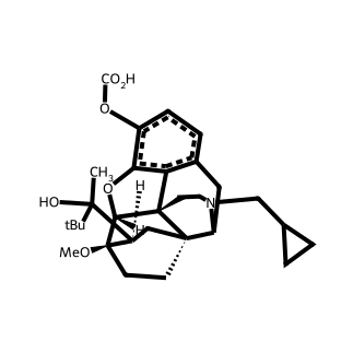 CO[C@]12CC[C@@]3(C[C@@H]1C(C)(O)C(C)(C)C)C1Cc4ccc(OC(=O)O)c5c4[C@@]3(CCN1CC1CC1)[C@H]2O5